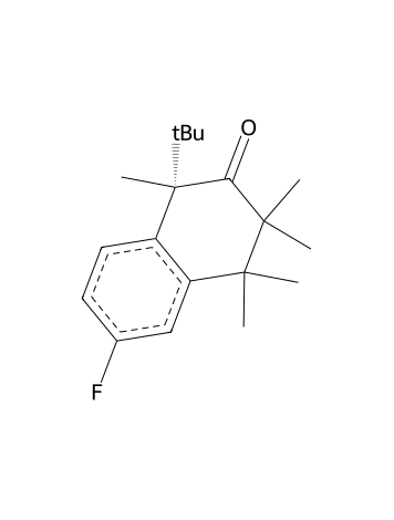 CC1(C)C(=O)[C@@](C)(C(C)(C)C)c2ccc(F)cc2C1(C)C